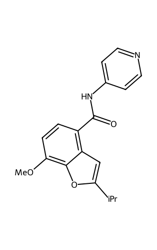 COc1ccc(C(=O)Nc2ccncc2)c2cc(C(C)C)oc12